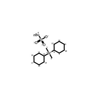 CCCCS(=O)(=O)[O-].C[N+](C)(C1CCCCC1)C1CCCCC1